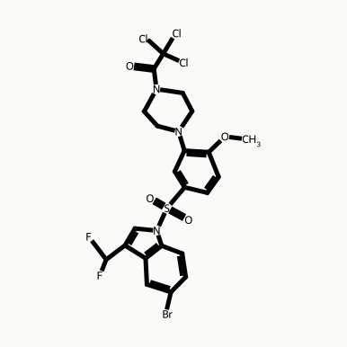 COc1ccc(S(=O)(=O)n2cc(C(F)F)c3cc(Br)ccc32)cc1N1CCN(C(=O)C(Cl)(Cl)Cl)CC1